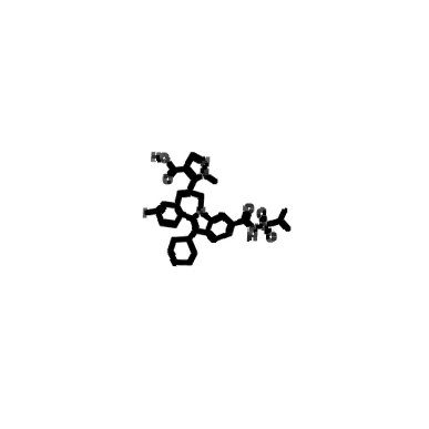 CC(C)S(=O)(=O)NC(=O)c1ccc2c(C3CCCCC3)c3n(c2c1)CC(c1c(C(=O)O)cnn1C)=Cc1cc(I)ccc1-3